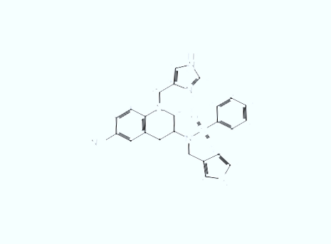 Cl.N#Cc1ccc2c(c1)CC(N(Cc1ccsc1)S(=O)(=O)c1ccccc1)CN2Cc1c[nH]cn1